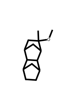 COC1(C)CC2CC1C1C3CCC(C3)C21